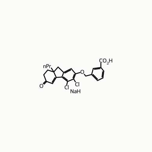 CCCC12CCC(=O)C=C1c1c(cc(OCc3cccc(C(=O)O)c3)c(Cl)c1Cl)C2.[NaH]